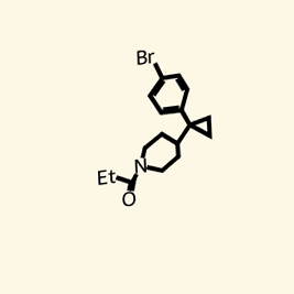 CCC(=O)N1CCC(C2(c3ccc(Br)cc3)CC2)CC1